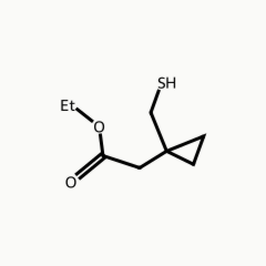 CCOC(=O)CC1(CS)CC1